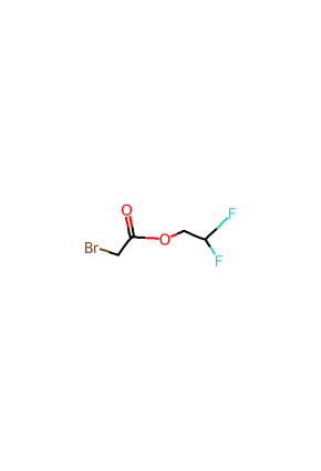 O=C(CBr)OCC(F)F